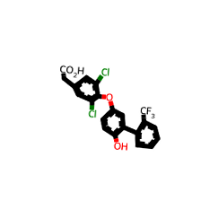 O=C(O)Cc1cc(Cl)c(Oc2ccc(O)c(-c3ccccc3C(F)(F)F)c2)c(Cl)c1